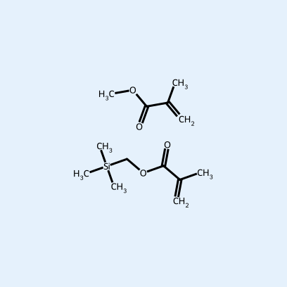 C=C(C)C(=O)OC.C=C(C)C(=O)OC[Si](C)(C)C